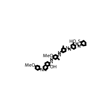 COc1ccc(Nc2ccc3c(O)c(N=Nc4cc(C)c(N=Nc5ccc(N=Nc6ccc(N=Nc7ccccc7S(=O)(=O)O)c(C)c6)c(C)c5)cc4OC)ccc3c2)cc1